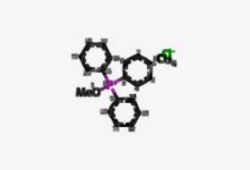 C.CO[P+](c1ccccc1)(c1ccccc1)c1ccccc1.[Cl-]